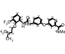 CNC(=O)c1cc(Oc2cccc(NC(=O)Nc3cccc(C(F)(F)F)c3OCCN(C)C)c2)ccn1